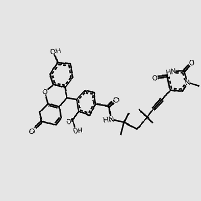 Cn1cc(C#CC(C)(C)CC(C)(C)NC(=O)c2ccc(C3C4=C(CC(=O)C=C4)Oc4cc(O)ccc43)c(C(=O)O)c2)c(=O)[nH]c1=O